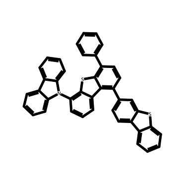 c1ccc(-c2ccc(-c3ccc4c(c3)sc3ccccc34)c3c2sc2c(-n4c5ccccc5c5ccccc54)cccc23)cc1